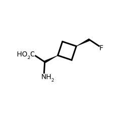 NC(C(=O)O)[C@H]1C[C@@H](CF)C1